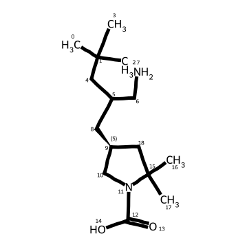 CC(C)(C)CC(CN)C[C@@H]1CN(C(=O)O)C(C)(C)C1